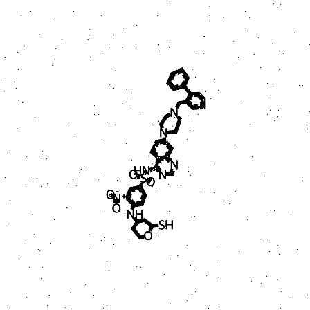 O=[N+]([O-])c1cc(S(=O)(=O)Nc2ncnc3cc(N4CCN(Cc5ccccc5-c5ccccc5)CC4)ccc23)ccc1NC1CCOC(S)C1